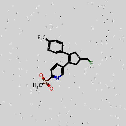 CS(=O)(=O)c1ccc(C2=C(c3ccc(C(F)(F)F)cc3)CC(CF)C2)cn1